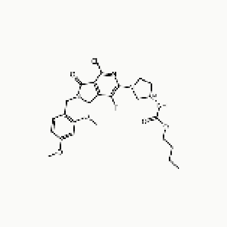 CCCCOC(=O)N[C@H]1CCN(c2nc(Cl)c3c(c2F)CN(Cc2ccc(OC)cc2OC)C3=O)C1